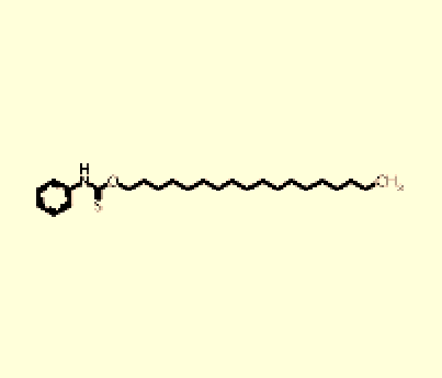 CCCCCCCCCCCCCCCCCCOC(=S)Nc1ccccc1